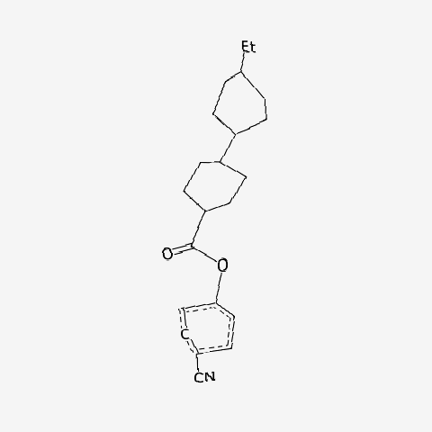 CCC1CCC(C2CCC(C(=O)Oc3ccc(C#N)cc3)CC2)CC1